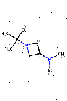 CCN(C)C1CN(C(C)(C)CC)C1